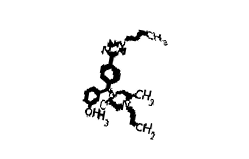 C=CCN1C[C@H](C)N([C@H](c2ccc(-c3nnn(CCCC)n3)cc2)c2cccc(O)c2)C[C@H]1C